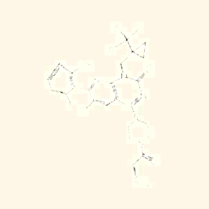 C=CC(=O)N1CCN(c2nc(=O)n(CC3(C(F)(F)F)CC3)c3nc(-c4c(O)cccc4F)c(Cl)cc23)CC1